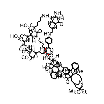 CCC1(OC)CC2CN(CCC3c4ccccc4NC3[C@@](C(=O)OC)(c3cc4c(cc3OC)N(C)[C@H]3[C@@](O)(C(=O)NNC(=O)OCCSSC[C@H](NC(=O)[C@H](CC(=O)O)NC(=O)[C@H](CC(=O)O)NC(=O)[C@H](CC(=O)O)NC(=O)CC[C@H](NC(=O)c5ccc(NCc6cnc7nc(N)[nH]c(=O)c7n6)cc5)C(=O)O)C(=O)N[C@@H](CCCCN)C(=O)O)[C@H](O)[C@]5(CC)C=CCN6CC[C@]43[C@@H]65)C2)C1